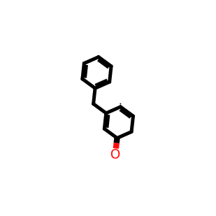 O=C1C=C(Cc2ccccc2)[C]=CC1